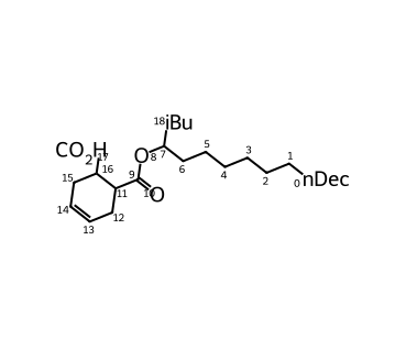 CCCCCCCCCCCCCCCCC(OC(=O)C1CC=CCC1C(=O)O)C(C)CC